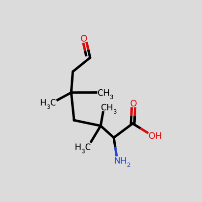 CC(C)(CC=O)CC(C)(C)C(N)C(=O)O